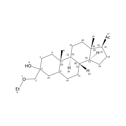 CCOCC1(O)CC[C@@]2(C)C(CC[C@H]3[C@@H]4CC[C@H](C(C)=O)[C@@]4(C)CC[C@@H]32)C1